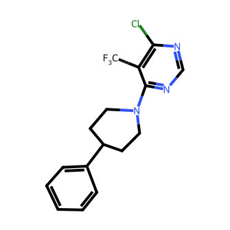 FC(F)(F)c1c(Cl)ncnc1N1CCC(c2ccccc2)CC1